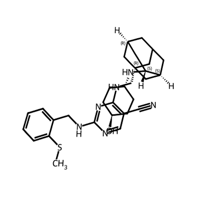 CSc1ccccc1CNc1ncc(C#N)c(NC[C@@]23CC4C[C@H](C2)[C@@H](N[C@H]2CC[C@H](O)CC2)[C@@H](C4)C3)n1